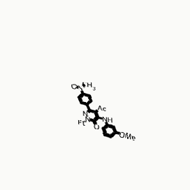 CCn1nc(-c2ccc([S+](C)[O-])cc2)c(C(C)=O)c(Nc2cccc(OC)c2)c1=O